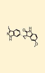 COc1ccc2c(c1)[C@]1(C[C@@H]1c1ccc3c(I)n[nH]c3c1)C(=O)N2